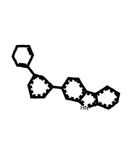 C1=CC(c2cccc(-c3ccc4c(c3)[nH]c3ccccc34)c2)=CCC1